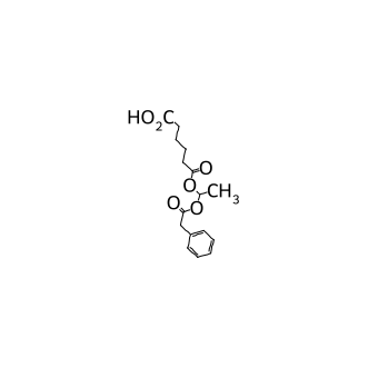 CC(OC(=O)CCCCC(=O)O)OC(=O)Cc1ccccc1